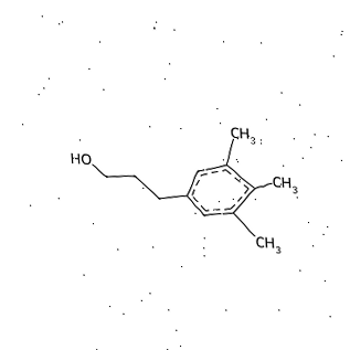 Cc1cc(CCCO)cc(C)c1C